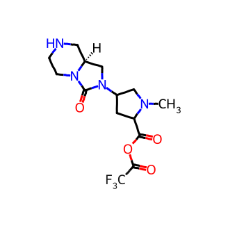 CN1CC(N2C[C@@H]3CNCCN3C2=O)CC1C(=O)OC(=O)C(F)(F)F